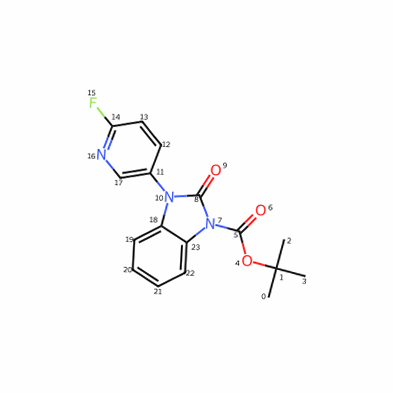 CC(C)(C)OC(=O)n1c(=O)n(-c2ccc(F)nc2)c2ccccc21